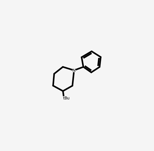 CC(C)(C)C1CCCN(c2ccccc2)C1